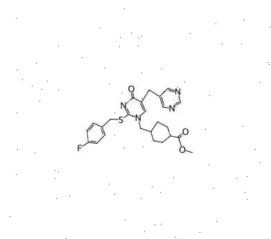 COC(=O)C1CCC(Cn2cc(Cc3cncnc3)c(=O)nc2SCc2ccc(F)cc2)CC1